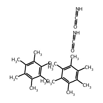 Cc1c(C)c(C)c(C)c(C)c1C.Cc1c(C)c(C)c(C)c(C)c1C.N=C=O.N=C=O